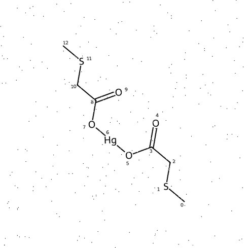 CSCC(=O)[O][Hg][O]C(=O)CSC